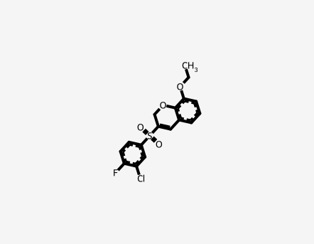 CCOc1cccc2c1OCC(S(=O)(=O)c1ccc(F)c(Cl)c1)=C2